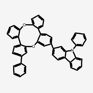 c1ccc(-c2ccc3c(c2)Oc2cc(-c4ccc5c6ccccc6n(-c6ccccc6)c5c4)ccc2-c2ccccc2Oc2ccccc2-3)cc1